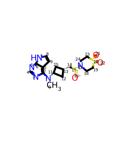 CN(c1ncnc2[nH]ccc12)[C@H]1C[C@@H](C[S+]([O-])N2CCS(=O)(=O)CC2)C1